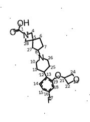 O=C(O)N1CC2(CCC(N3CCC(c4ccc(F)cc4OC4COC4)CC3)C2)C1